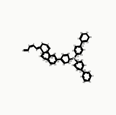 C=C/C=C\C=C1/CC=Cc2c1ccc1ccc(C3=CCC(N(c4ccc(C5=CCCC=C5)cc4)c4ccc(-c5ccccc5)cc4)C=C3)cc21